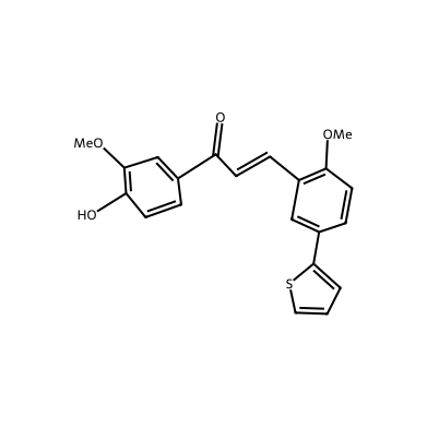 COc1cc(C(=O)C=Cc2cc(-c3cccs3)ccc2OC)ccc1O